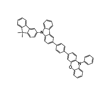 CC1(C)c2ccccc2-c2cc(-n3c4ccccc4c4cc(-c5ccc(-c6ccc7c(c6)Oc6ccccc6N7c6ccccc6)cc5)ccc43)ccc21